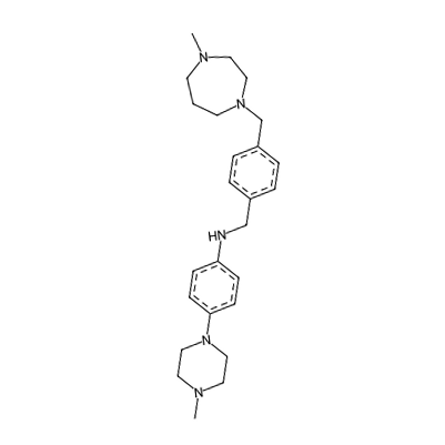 CN1CCCN(Cc2ccc(CNc3ccc(N4CCN(C)CC4)cc3)cc2)CC1